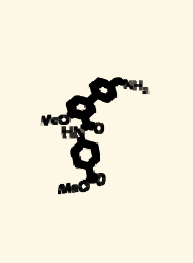 COC(=O)C1CCC(NC(=O)c2cc(-c3ccc(CN)cc3)ccc2OC)CC1